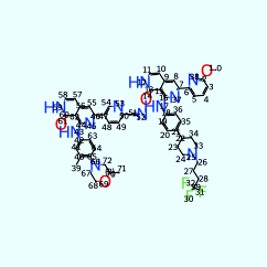 COc1cccc(-c2cc3cc[nH]c(=O)c3c(Nc3ccc(C4CCN(CCCC(F)(F)F)CC4)cc3)n2)n1.Cc1cc(Nc2nc(-c3ccc(C#N)nc3)cc3cc[nH]c(=O)c23)ccc1N1CCO[C@H](C)C1